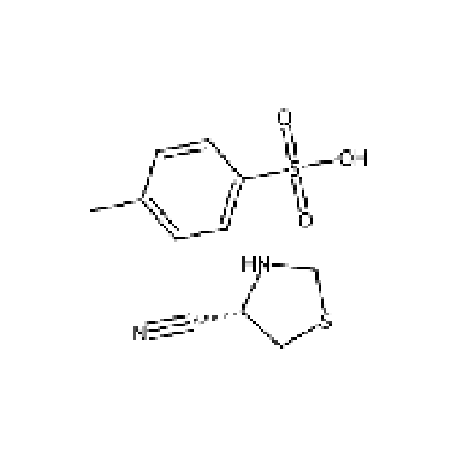 Cc1ccc(S(=O)(=O)O)cc1.N#C[C@H]1CSCN1